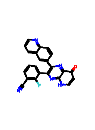 N#Cc1cccc(-c2nc3[nH]ccc(=O)c3nc2-c2ccc3ncccc3c2)c1F